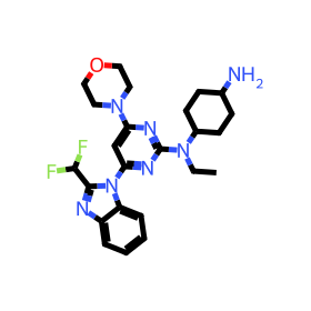 CCN(c1nc(N2CCOCC2)cc(-n2c(C(F)F)nc3ccccc32)n1)C1CCC(N)CC1